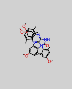 COc1cc(C)c(N=C2NC(=O)[N+](c3c(C)cc(OC)cc3C)(c3c(C)cc(OC)cc3C)C2=Nc2c(C)cc(OC)cc2C)c(C)c1